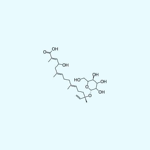 C=C[C@](C)(CC/C=C(\C)CC/C=C(\C)CC(O)/C=C(\C)C(=O)O)O[C@@H]1OC(CO)[C@@H](O)C(O)C1O